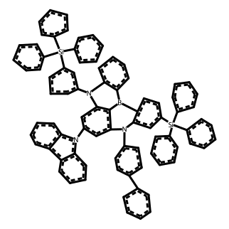 c1ccc(-c2ccc(N3c4cc([Si](c5ccccc5)(c5ccccc5)c5ccccc5)ccc4B4c5ccccc5N(c5cccc([Si](c6ccccc6)(c6ccccc6)c6ccccc6)c5)c5cc(-n6c7ccccc7c7ccccc76)cc3c54)cc2)cc1